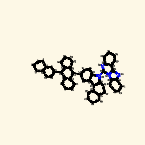 c1ccc2cc(-c3c4ccccc4c(-c4ccc5c(c4)c4c6ccccc6ccc4n5-c4nc5ccccc5c5nc6ccccc6n45)c4ccccc34)ccc2c1